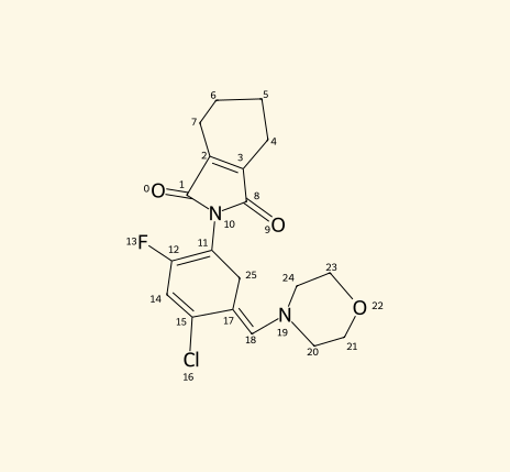 O=C1C2=C(CCCC2)C(=O)N1C1=C(F)C=C(Cl)C(=CN2CCOCC2)C1